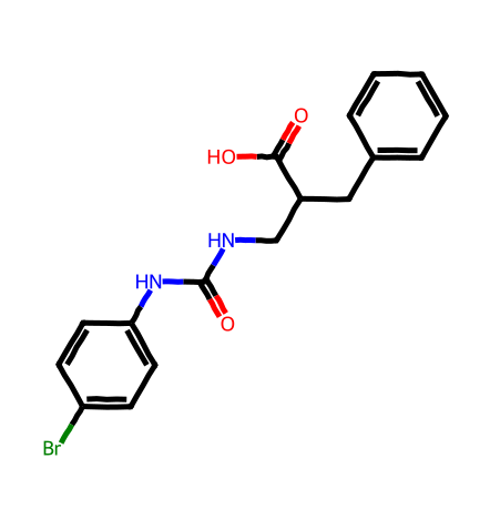 O=C(NCC(Cc1ccccc1)C(=O)O)Nc1ccc(Br)cc1